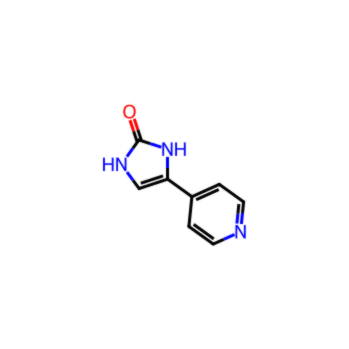 O=c1[nH]cc(-c2ccncc2)[nH]1